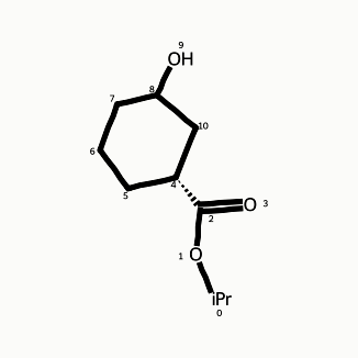 CC(C)OC(=O)[C@@H]1CCCC(O)C1